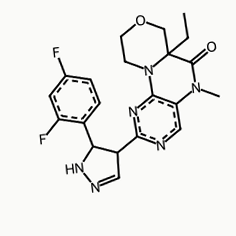 CCC12COCCN1c1nc(C3C=NNC3c3ccc(F)cc3F)ncc1N(C)C2=O